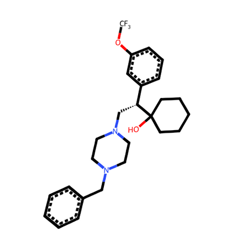 OC1([C@H](CN2CCN(Cc3ccccc3)CC2)c2cccc(OC(F)(F)F)c2)CCCCC1